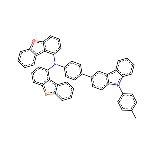 Cc1ccc(-n2c3ccccc3c3cc(-c4ccc(N(c5cccc6oc7ccccc7c56)c5cccc6sc7ccccc7c56)cc4)ccc32)cc1